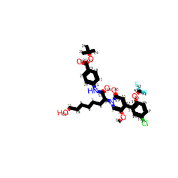 COc1cn(C(CCCCCCO)C(=O)Nc2ccc(C(=O)OC(C)(C)C)cc2)c(=O)cc1-c1cc(Cl)ccc1OC(F)F